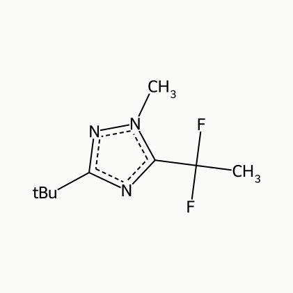 Cn1nc(C(C)(C)C)nc1C(C)(F)F